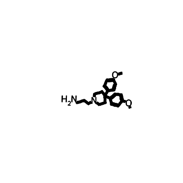 COc1ccc(C2(c3ccc(OC)cc3)CCN(CCCN)CC2)cc1